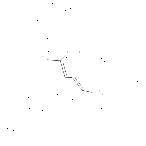 N#C/C=C/C=C(/F)C=O